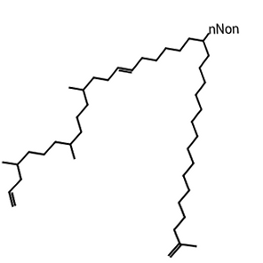 C=CCC(C)CCCC(C)CCCC(C)CCC=CCCCCCC(CCCCCCCCC)CCCCCCCCCCCCCCC(=C)C